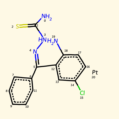 NC(=S)NN=C(c1ccccc1)c1cc(Cl)ccc1N.[Pt]